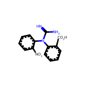 N=C(N)N(c1ccccc1C(=O)O)c1ccccc1[N+](=O)[O-]